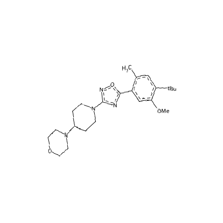 COc1cc(-c2nc(N3CCC(N4CCOCC4)CC3)no2)c(C)cc1C(C)(C)C